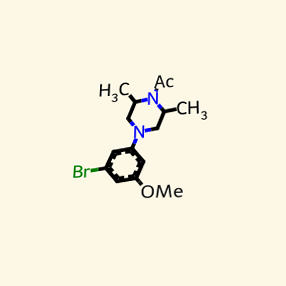 COc1cc(Br)cc(N2CC(C)N(C(C)=O)C(C)C2)c1